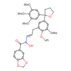 CCCOc1c(C/C=C/N(O)C(=O)c2ccc3c(c2)OCO3)cc(C2(c3cc(OC)c(OC)c(OC)c3)CCCO2)cc1OC